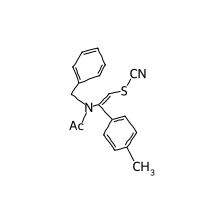 CC(=O)N(Cc1ccccc1)C(=CSC#N)c1ccc(C)cc1